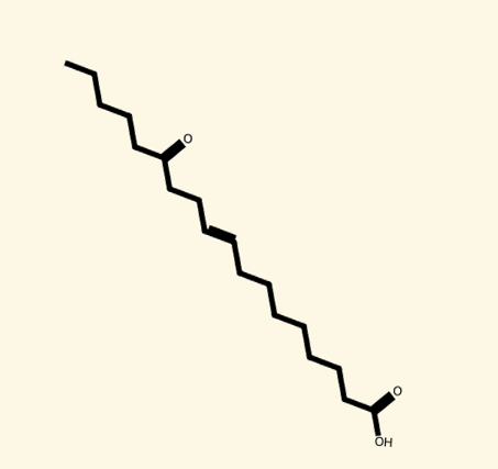 CCCCCC(=O)CCC=CCCCCCCCC(=O)O